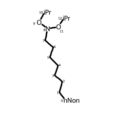 CCCCCCCCCCCCCCCCN(OC(C)C)OC(C)C